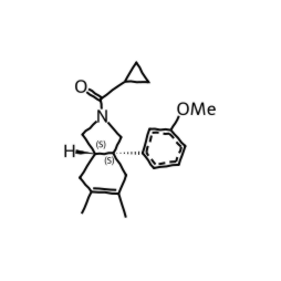 COc1cccc([C@]23CC(C)=C(C)C[C@@H]2CN(C(=O)C2CC2)C3)c1